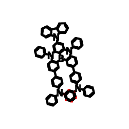 c1ccc(N(c2ccccc2)c2ccc(-c3ccc4c(c3)B3c5cc(-c6ccc(N(c7ccccc7)c7ccccc7)cc6)ccc5N(c5ccccc5)c5cc(-n6c7ccccc7c7ccccc76)cc(c53)N4c3ccccc3)cc2)cc1